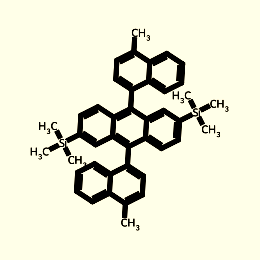 Cc1ccc(-c2c3ccc([Si](C)(C)C)cc3c(-c3ccc(C)c4ccccc34)c3ccc([Si](C)(C)C)cc23)c2ccccc12